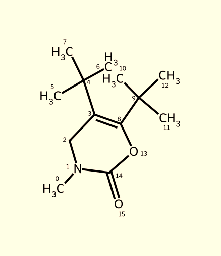 CN1CC(C(C)(C)C)=C(C(C)(C)C)OC1=O